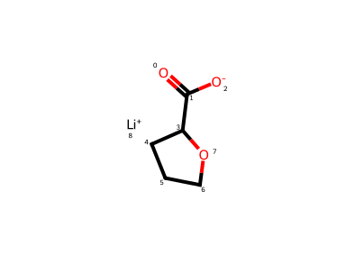 O=C([O-])C1CCCO1.[Li+]